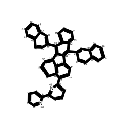 c1ccc(-c2cccc(-c3ccc4c5c(cccc35)-c3c-4c(-c4ccc5ccccc5c4)c4ccccc4c3-c3ccc4ccccc4c3)n2)nc1